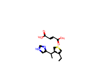 CCc1cscc1C(C)c1c[nH]cn1.O=C(O)C=CC(=O)O